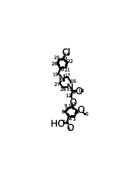 COc1cc(C(=O)O)ccc1OCC(=O)N1CCN(Cc2ccc(Cl)cc2)CC1